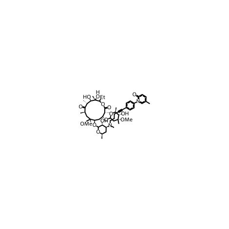 CCC1OC(=O)[C@H](C)[C@H](OC2C[C@@](C)(OC)[C@@H](O)[C@H](C)O2)[C@H](C)[C@@H](OC2O[C@H](C)C[C@H](N(C)CCCC#Cc3ccc(-n4cc(C)ccc4=O)cc3)[C@H]2O)[C@@](C)(OC)C[C@@H](C)C(=O)[C@H](C)[C@@H](O)[C@]1(C)O